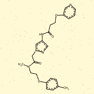 Cc1ccc(OCCN(C)C(=O)Cn2cc(NC(=O)CCOc3cccnc3)cn2)cc1